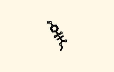 CCOC(=O)C(C)(C)S(=O)(=O)c1ccc(O)cc1